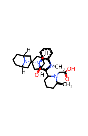 C=C1CCCC(c2nc3ccccc3n([C@H]3C[C@H]4CCC[C@@H](C3)N4[C@H]3C[C@@H]4C[C@@H](C)C[C@@H](C4)C3)c2=O)N1CC(=O)O